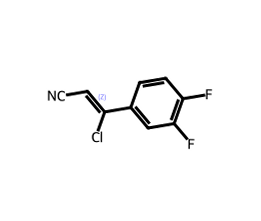 N#C/C=C(\Cl)c1ccc(F)c(F)c1